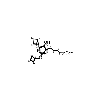 CCCCCCCCCCCCCCc1nc(OC2CCC2)nc(N2CCC2)c1O